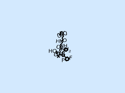 CC(C)(C)[C@H](c1cc(-c2cc(F)ccc2F)cn1Cc1ccccc1)N(CC[C@H](N)C(=O)NCCNC(=O)CCN1C(=O)C=CC1=O)C(=O)CO